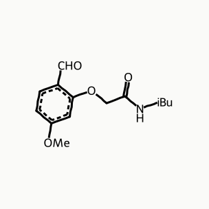 CCC(C)NC(=O)COc1cc(OC)ccc1C=O